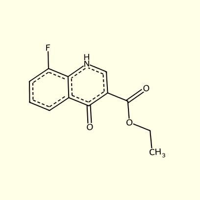 CCOC(=O)c1c[nH]c2c(F)cccc2c1=O